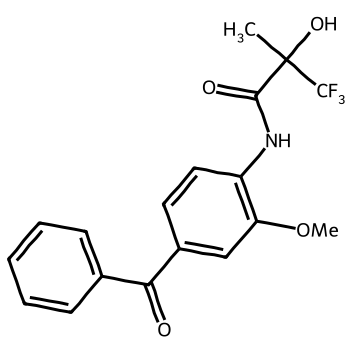 COc1cc(C(=O)c2ccccc2)ccc1NC(=O)C(C)(O)C(F)(F)F